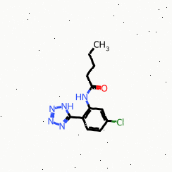 CCCCC(=O)Nc1cc(Cl)ccc1-c1nnn[nH]1